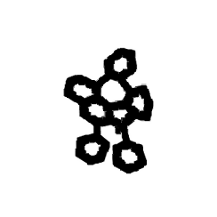 c1ccc(-c2cc3cccc4c3c3c5c(cccc5n(-c5ccccc5)c23)-c2ccccc2-4)cc1